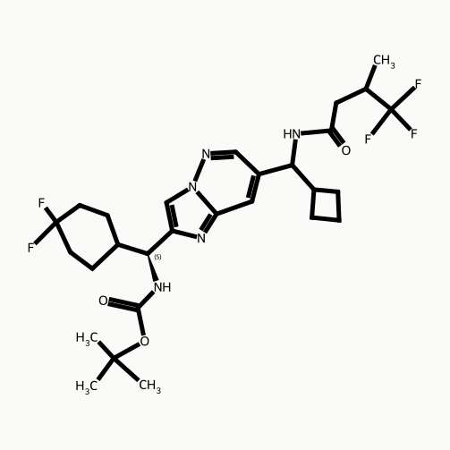 CC(CC(=O)NC(c1cnn2cc([C@@H](NC(=O)OC(C)(C)C)C3CCC(F)(F)CC3)nc2c1)C1CCC1)C(F)(F)F